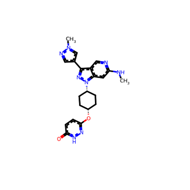 CNc1cc2c(cn1)c(-c1cnn(C)c1)nn2[C@H]1CC[C@@H](Oc2ccc(=O)[nH]n2)CC1